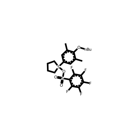 CCCCOc1c(C)cc(S2(OS(=O)(=O)c3c(F)c(F)c(F)c(F)c3F)CCCC2)cc1C